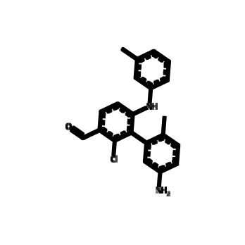 Cc1cccc(Nc2ccc(C=O)c(Cl)c2-c2cc(N)ccc2C)c1